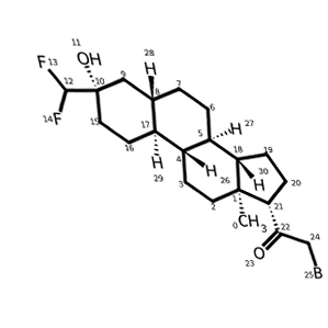 C[C@]12CC[C@H]3[C@@H](CC[C@H]4C[C@](O)(C(F)F)CC[C@@H]43)[C@@H]1CC[C@@H]2C(=O)CBr